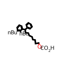 CCCCc1cccc(C(CCCCCCCCOC(=O)O)c2ccccc2)c1CCCC